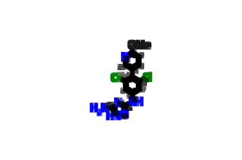 COc1ccc(-c2c(Cl)cc(Nc3n[nH]c(N)n3)cc2Cl)cn1